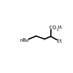 CCCCC[CH]C(CC)C(=O)O